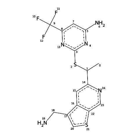 CC(Sc1nc(N)cc(C(F)(F)F)n1)c1cc2c(CN)csc2cn1